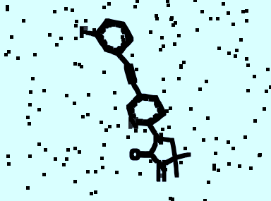 CC1(C)CN(c2ccc(C#Cc3cccc(F)c3)cn2)C(=O)N1